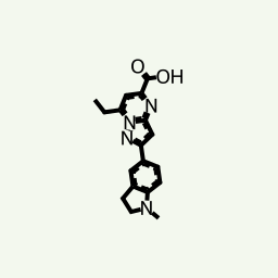 CCc1cc(C(=O)O)nc2cc(-c3ccc4c(c3)CCN4C)nn12